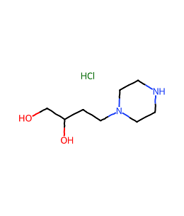 Cl.OCC(O)CCN1CCNCC1